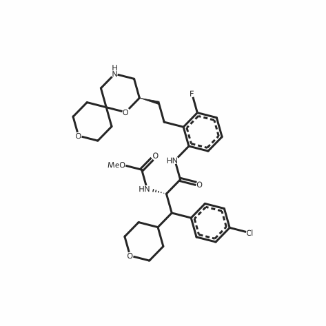 COC(=O)N[C@H](C(=O)Nc1cccc(F)c1CC[C@@H]1CNCC2(CCOCC2)O1)C(c1ccc(Cl)cc1)C1CCOCC1